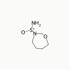 N[S+]([O-])N1CCCCOC1